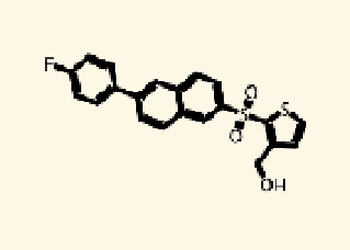 O=S(=O)(c1ccc2cc(-c3ccc(F)cc3)ccc2c1)c1sccc1CO